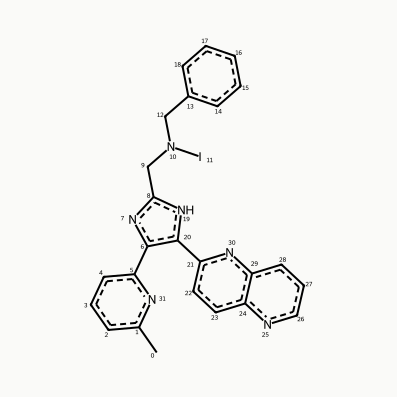 Cc1cccc(-c2nc(CN(I)Cc3ccccc3)[nH]c2-c2ccc3ncccc3n2)n1